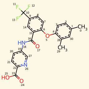 Cc1ccc(Oc2ccc(C(F)(F)F)cc2C(=O)Nc2ccc(C(=O)O)nc2)c(C)c1